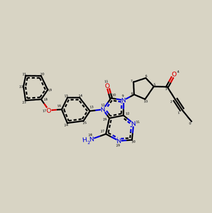 CC#CC(=O)C1CCC(n2c(=O)n(-c3ccc(Oc4ccccc4)cc3)c3c(N)ncnc32)C1